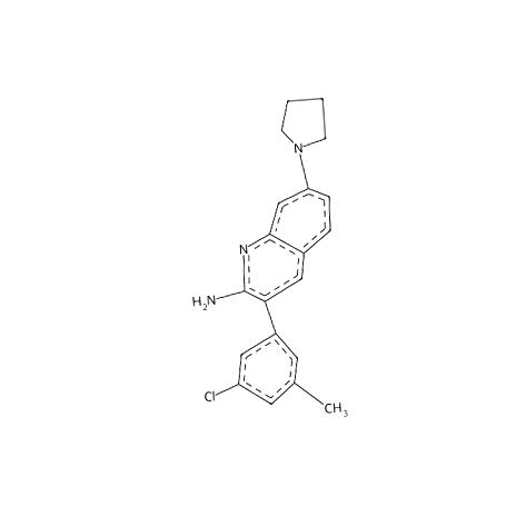 Cc1cc(Cl)cc(-c2cc3ccc(N4CCCC4)cc3nc2N)c1